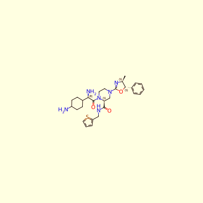 C[C@@H]1N=C(N2CCN(C(=O)[C@H](N)C3CCC(N)CC3)[C@H](C(=O)NCc3cccs3)C2)O[C@H]1c1ccccc1